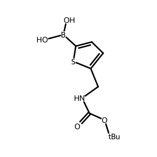 CC(C)(C)OC(=O)NCc1ccc(B(O)O)s1